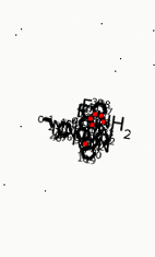 C=CCN1C[C@H](C)N(c2nc(=O)n(-c3c(C4CCCCC4)ncnc3C3CCCCC3)c3nc(-c4c(N)cccc4F)c(F)cc23)C[C@H]1C